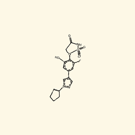 O=C1CN(c2c(O)cc(-c3cnn(C4CCCC4)c3)cc2F)S(=O)(=O)N1